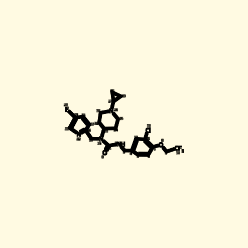 O=C(NCc1ccc(OCC(F)(F)F)c(Cl)c1)N(Cc1ccc(F)cn1)C1CCN(C2CC2)CC1